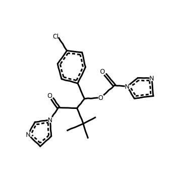 CC(C)(C)C(C(=O)n1ccnc1)C(OC(=O)n1ccnc1)c1ccc(Cl)cc1